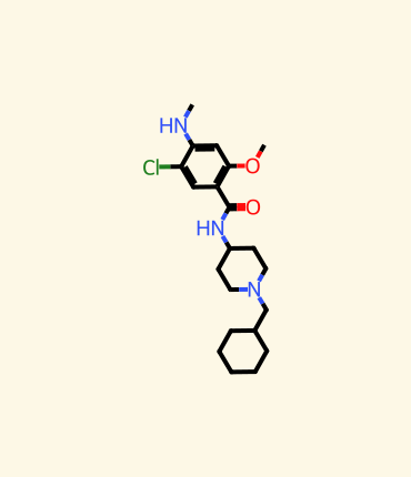 CNc1cc(OC)c(C(=O)NC2CCN(CC3CCCCC3)CC2)cc1Cl